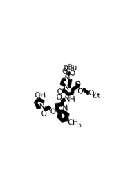 CCCCOC(=O)N1CCN(C(=O)C(CCC(=O)OCCOCC)NC(=O)c2cc(OCC(=O)N3CCC(O)C3)c3ccc(C)cc3n2)CC1